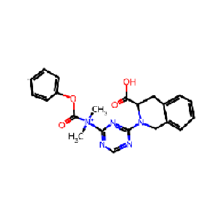 C[N+](C)(C(=O)Oc1cc[c]cc1)c1ncnc(N2Cc3ccccc3CC2C(=O)O)n1